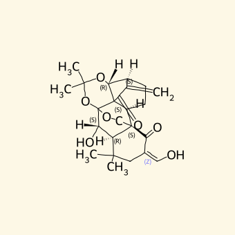 C=C1C(=O)C23[C@@H]4OC(C)(C)OC25OC[C@]2(C(=O)/C(=C\O)CC(C)(C)[C@H]2[C@@H]5O)[C@@H]3CC[C@@H]14